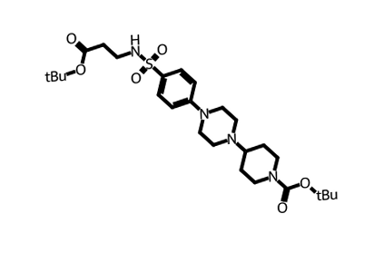 CC(C)(C)OC(=O)CCNS(=O)(=O)c1ccc(N2CCN(C3CCN(C(=O)OC(C)(C)C)CC3)CC2)cc1